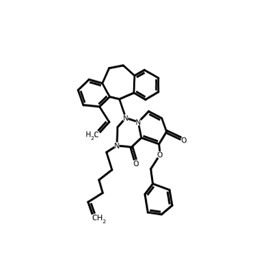 C=CCCCCN1CN(C2c3ccccc3CCc3cccc(C=C)c32)n2ccc(=O)c(OCc3ccccc3)c2C1=O